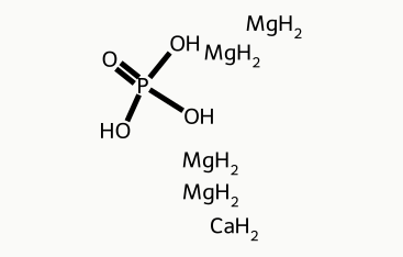 O=P(O)(O)O.[CaH2].[MgH2].[MgH2].[MgH2].[MgH2]